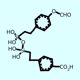 O=COc1ccc(CC[Si](O)(O)O[Si](O)(O)CCc2ccc(C(=O)O)cc2)cc1